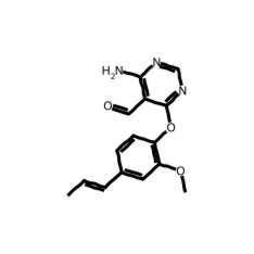 C/C=C/c1ccc(Oc2ncnc(N)c2C=O)c(OC)c1